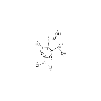 O=C(O[C@@H]1C(CO)O[C@@H](O)C[C@@H]1O)C(Cl)Cl